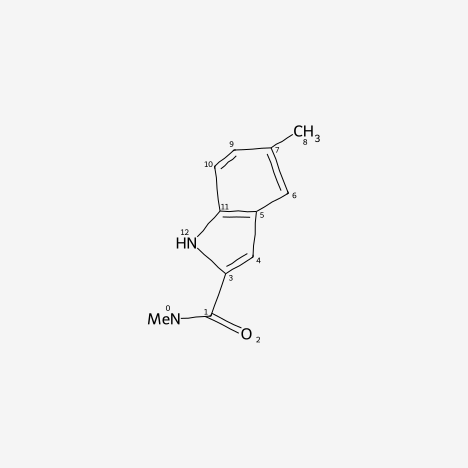 CNC(=O)c1cc2cc(C)ccc2[nH]1